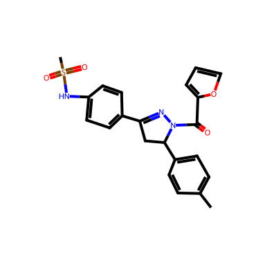 Cc1ccc(C2CC(c3ccc(NS(C)(=O)=O)cc3)=NN2C(=O)c2ccco2)cc1